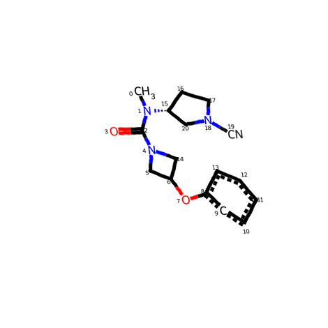 CN(C(=O)N1CC(Oc2ccccc2)C1)[C@@H]1CCN(C#N)C1